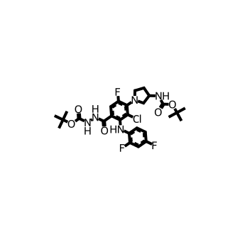 CC(C)(C)OC(=O)NNC(=O)c1cc(F)c(N2CCC(NC(=O)OC(C)(C)C)C2)c(Cl)c1Nc1ccc(F)cc1F